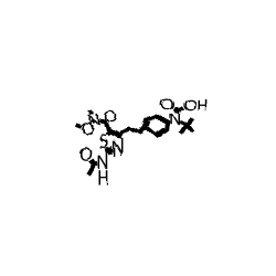 CON(C)C(=O)c1sc(NC(C)=O)nc1CCc1ccc(N(C(=O)O)C(C)(C)C)cc1